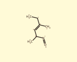 CCC(C)=CC(C)N=O